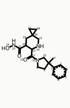 CC1(c2ccccc2)CCN(C(=O)C2NCC3(CC3)CC2C(=O)NO)C1